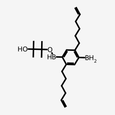 Bc1cc(CCCCC=C)c(BOC(C)(C)C(C)(C)O)cc1CCCCC=C